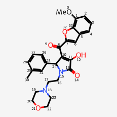 COc1cccc2cc(C(=O)C3=C(O)C(=O)N(CCN4CCOCC4)C3c3cccc(C)c3)oc12